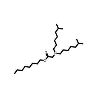 CCCCCCCCOC(=O)CN(CCCCCC(C)C)CCCCCC(C)C